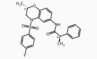 C[C@H]1CN(S(=O)(=O)c2ccc(F)cc2)c2cc(NC(=O)[C@H](C)c3ccccc3)ccc2O1